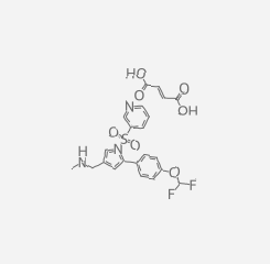 CNCc1cc(-c2ccc(OC(F)F)cc2)n(S(=O)(=O)c2cccnc2)c1.O=C(O)/C=C/C(=O)O